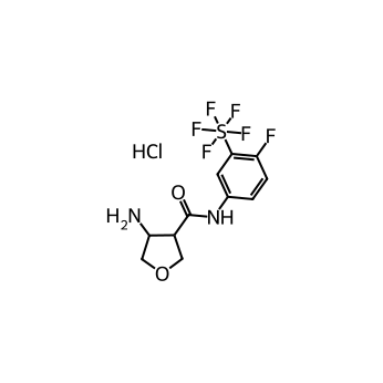 Cl.NC1COCC1C(=O)Nc1ccc(F)c(S(F)(F)(F)(F)F)c1